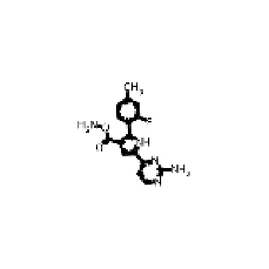 Cc1ccc(-c2[nH]c(-c3ccnc(N)n3)cc2C(=O)ON)c(F)c1